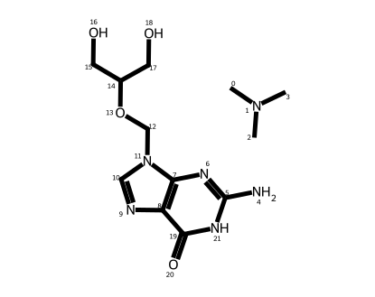 CN(C)C.Nc1nc2c(ncn2COC(CO)CO)c(=O)[nH]1